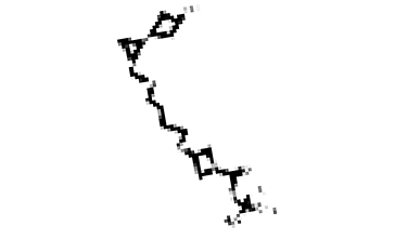 CC(C)(C)OC(=O)N1CC(OCCCCOC[C@H]2C[C@@H]2C2CC(O)C2)C1